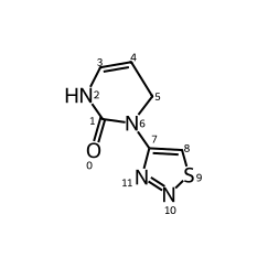 O=C1NC=CCN1c1csnn1